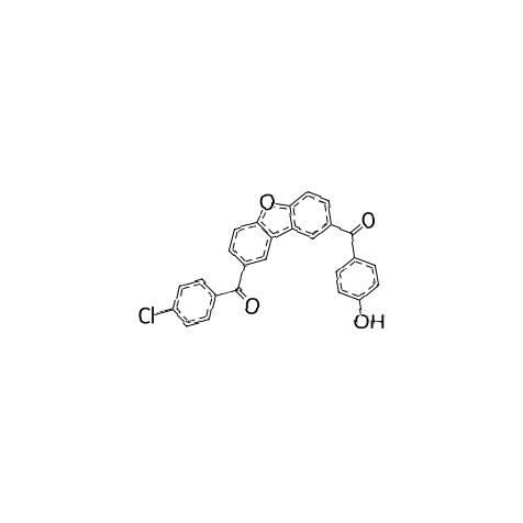 O=C(c1ccc(O)cc1)c1ccc2oc3ccc(C(=O)c4ccc(Cl)cc4)cc3c2c1